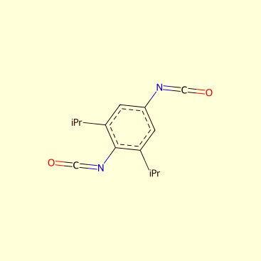 CC(C)c1cc(N=C=O)cc(C(C)C)c1N=C=O